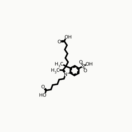 CC1=[N+](CCCCCC(=O)O)c2ccc(S(=O)(=O)O)cc2C1(C)CCCCCC(=O)O